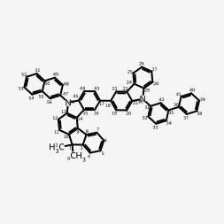 CC1(C)c2ccccc2-c2c1ccc1c2c2cc(-c3ccc4c(c3)c3ccccc3n4-c3cccc(-c4ccccc4)c3)ccc2n1-c1ccc2ccccc2c1